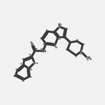 CN1CCC(c2c[nH]c3ccc(NC(=O)c4cc5ccccc5s4)nc23)CC1